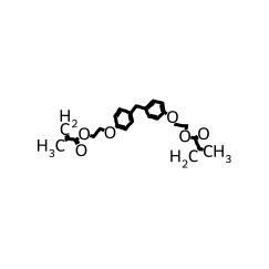 C=C(C)C(=O)OCCOc1ccc(Cc2ccc(OCCOC(=O)C(=C)C)cc2)cc1